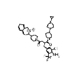 Nc1c(Cl)cc(C[C@@H](CC(=O)N2CCC(C3CC=C4C=CCC=C4C[NH+]3[O-])CC2)C(=O)N2CCC(N3CCN(C4CC4)CC3)CC2)cc1C(F)(F)F